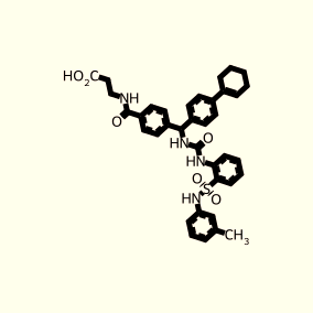 Cc1cccc(NS(=O)(=O)c2ccccc2NC(=O)NC(c2ccc(C(=O)NCCC(=O)O)cc2)c2ccc(C3=CCCCC3)cc2)c1